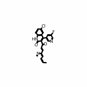 C=NC(=C\C=C/C)/C=C/C(=O)c1c(-c2cncc(F)c2)c2cc(Cl)ccc2[nH]c1=O